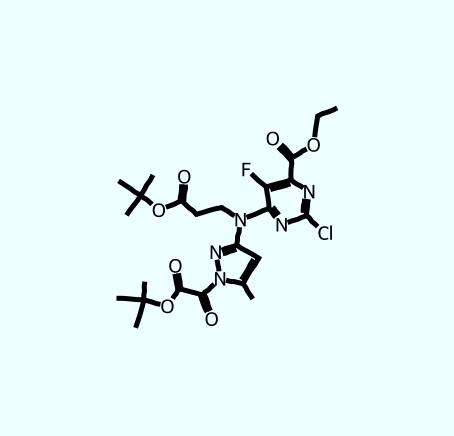 CCOC(=O)c1nc(Cl)nc(N(CCC(=O)OC(C)(C)C)c2cc(C)n(C(=O)C(=O)OC(C)(C)C)n2)c1F